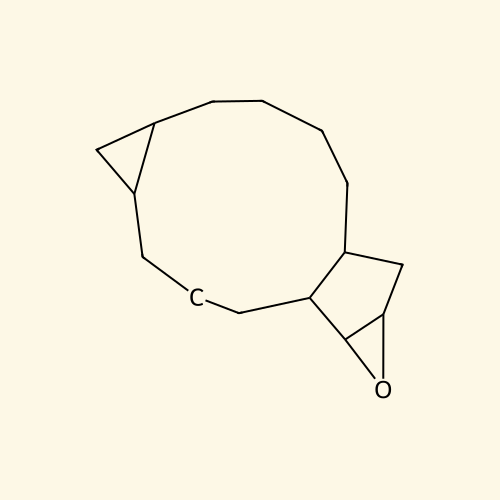 C1CCC2CC3OC3C2CCCC2CC2C1